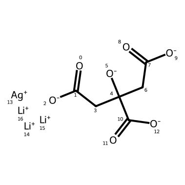 O=C([O-])CC([O-])(CC(=O)[O-])C(=O)[O-].[Ag+].[Li+].[Li+].[Li+]